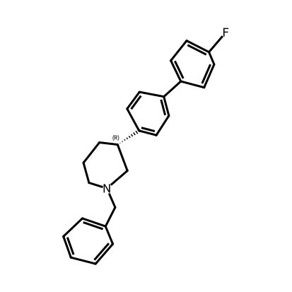 Fc1ccc(-c2ccc([C@H]3CCCN(Cc4ccccc4)C3)cc2)cc1